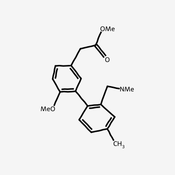 CNCc1cc(C)ccc1-c1cc(CC(=O)OC)ccc1OC